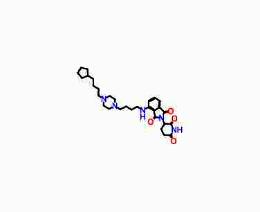 O=C1CCC(N2C(=O)c3cccc(NCCCCN4CCN(CCCCC5CCCC5)CC4)c3C2=O)C(=O)N1